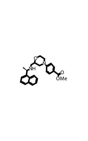 COC(=O)c1ccc(N2CCOC(CN[C@H](C)c3cccc4ccccc34)C2)cc1